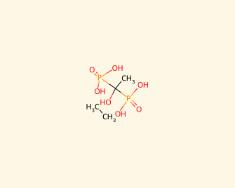 CC.CC(O)(P(=O)(O)O)P(=O)(O)O